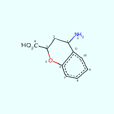 NC1CC(C(=O)O)Oc2ccccc21